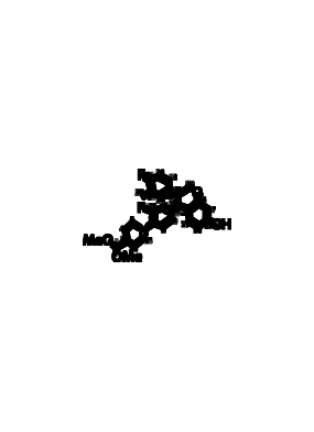 COC(OC)C1CCN(c2ccc(C3c4ccc(O)cc4OCC3c3ccc(F)c(C)c3)cc2F)CC1